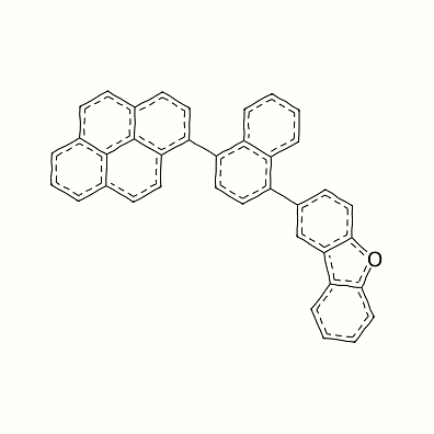 c1cc2ccc3ccc(-c4ccc(-c5ccc6oc7ccccc7c6c5)c5ccccc45)c4ccc(c1)c2c34